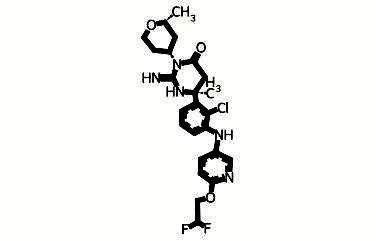 C[C@@H]1C[C@H](N2C(=N)N[C@](C)(c3cccc(Nc4ccc(OCC(F)F)nc4)c3Cl)CC2=O)CCO1